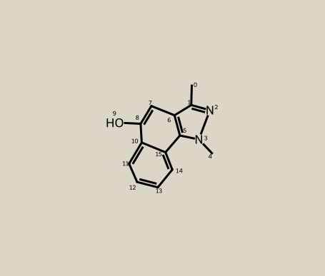 Cc1nn(C)c2c1cc(O)c1ccccc12